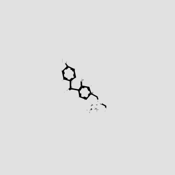 CCN(Cc1ccc(C(=O)c2ccc(F)cc2)c(Br)c1)S(N)(=O)=O